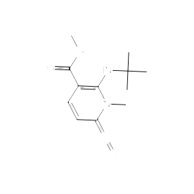 COC(=O)C1=C(NC(C)(C)C)N(C)C(=C=O)C=C1